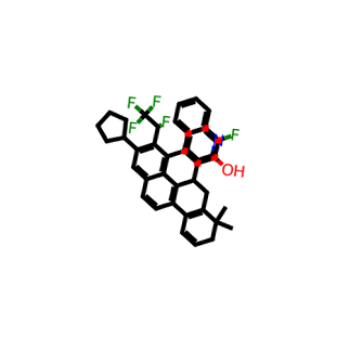 CC1(C)CC=CC2=C1CC(c1cc3ccccc3nc1O)c1c2ccc2cc(C3CCCC3)c(C(F)C(F)(F)F)c(-c3ccc(F)cc3)c12